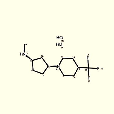 CN[C@@H]1CC[C@H](N2CCC(C(F)(F)F)CC2)C1.Cl.Cl